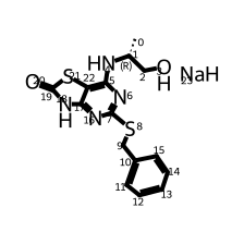 C[C@H](CO)Nc1nc(SCc2ccccc2)nc2[nH]c(=O)sc12.[NaH]